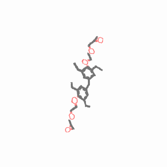 CCc1cc(Cc2cc(CC)c(OCCOCC3CO3)c(CC)c2)cc(CC)c1OCCOCC1CO1